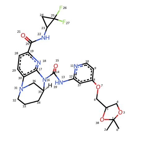 CC1(C)OCC(COc2ccnc(NC(=O)N3c4nc(C(=O)NC5CC5(F)F)ccc4N4CCC[C@H]3C4)c2)O1